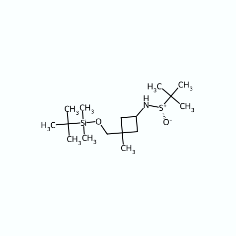 CC1(CO[Si](C)(C)C(C)(C)C)CC(N[S@@+]([O-])C(C)(C)C)C1